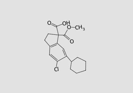 COC(=O)C1(C(=O)O)CCc2cc(Cl)c(C3CCCCC3)cc21